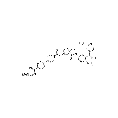 CN/C=N\C(=N)c1ccc(C2=CCN(C(=O)CN3CC[C@]4(CCN(c5ccc(N)c(C(=N)c6ccnc(C)c6)c5)C4=O)C3)CC2)cc1